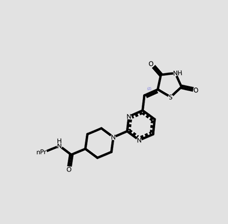 CCCNC(=O)C1CCN(c2nccc(/C=C3\SC(=O)NC3=O)n2)CC1